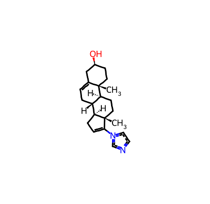 C[C@]12CC[C@H](O)CC1=CC[C@@H]1[C@@H]2CC[C@]2(C)C(n3ccnc3)=CC[C@@H]12